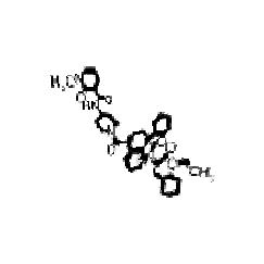 CCOC(=O)[C@@H](Cc1ccccc1)NC(=O)[C@@]1(c2ccccc2)CC[C@H](C(=O)N2CCC(NC(=O)c3cccn(C)c3=O)CC2)c2ccccc21